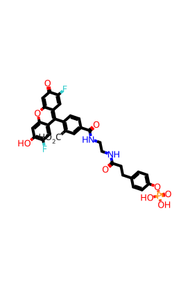 O=C(CCc1ccc(OP(=O)(O)O)cc1)NCCNC(=O)c1ccc(-c2c3cc(F)c(=O)cc-3oc3cc(O)c(F)cc23)c(C(=O)O)c1